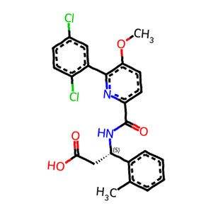 COc1ccc(C(=O)N[C@@H](CC(=O)O)c2ccccc2C)nc1-c1cc(Cl)ccc1Cl